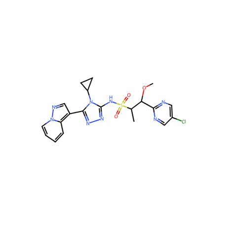 COC(c1ncc(Cl)cn1)C(C)S(=O)(=O)Nc1nnc(-c2cnn3ccccc23)n1C1CC1